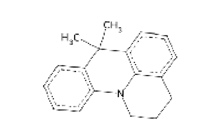 CC1(C)c2ccccc2N2CCCc3cccc1c32